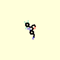 N#CCc1ccc2c(c1)C1OCCCC1C(c1cc(F)c(F)cc1F)N2